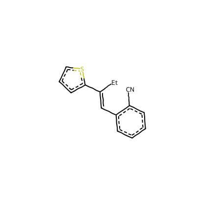 CCC(=Cc1ccccc1C#N)c1cccs1